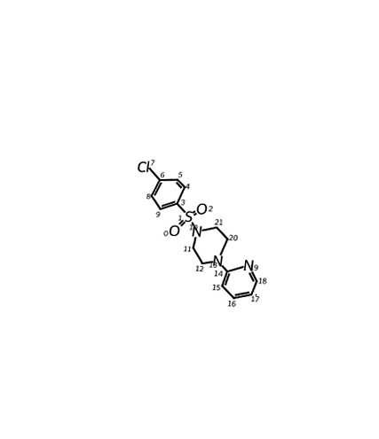 O=S(=O)(c1ccc(Cl)cc1)N1CCN(c2cc[c]cn2)CC1